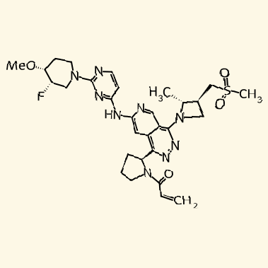 C=CC(=O)N1CCC[C@H]1c1nnc(N2C[C@H](CS(C)(=O)=O)[C@H]2C)c2cnc(Nc3ccnc(N4CC[C@@H](OC)[C@@H](F)C4)n3)cc12